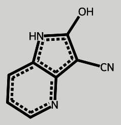 N#Cc1c(O)[nH]c2cccnc12